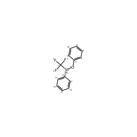 FC(F)(F)[SiH](Oc1ccccc1)c1ccccc1